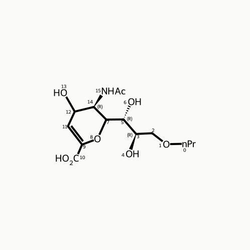 CCCOC[C@@H](O)[C@@H](O)C1OC(C(=O)O)=CC(O)[C@H]1NC(C)=O